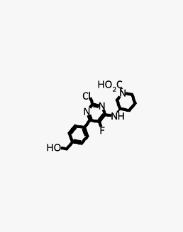 O=C(O)N1CCC[C@@H](Nc2nc(Cl)nc(-c3ccc(CO)cc3)c2F)C1